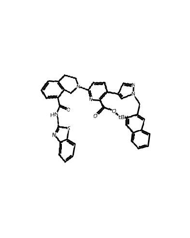 CC(C)(C)OC(=O)c1nc(N2CCc3cccc(C(=O)Nc4nc5ccccc5s4)c3C2)ccc1-c1cnn(Cc2ccc3ccccc3c2)c1